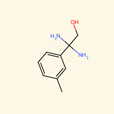 Cc1cccc(C(N)(N)CO)c1